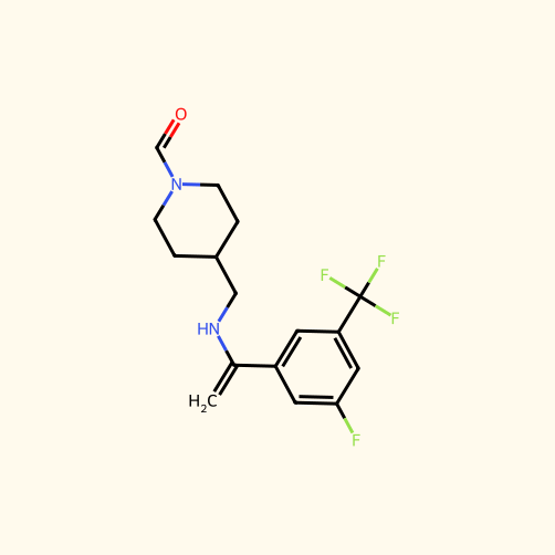 C=C(NCC1CCN(C=O)CC1)c1cc(F)cc(C(F)(F)F)c1